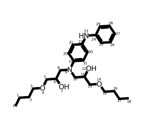 CCCCOCC(O)CN(CC(O)COCCCC)c1ccc(Nc2ccccc2)cc1